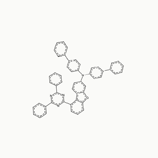 c1ccc(-c2ccc(N(c3ccc(-c4ccccc4)cc3)c3ccc4c(c3)oc3cccc(-c5nc(-c6ccccc6)nc(-c6ccccc6)n5)c34)cc2)cc1